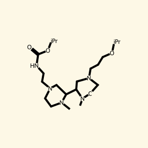 CC(C)OCCCN1CCN(C)C(C2CN(CCNC(=O)OC(C)C)CCN2C)C1